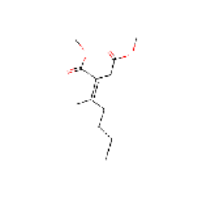 CCCC/C(C)=C(\CC(=O)OC)C(=O)OC